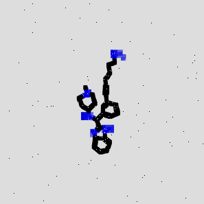 CN1CCC(NC(c2cccc(C#CCCCCN)c2)c2nc3ccccc3[nH]2)CC1